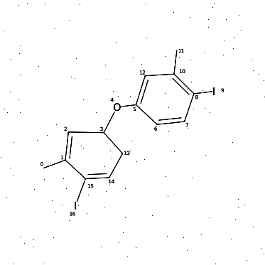 CC1=CC(Oc2ccc(I)c(C)c2)CC=C1I